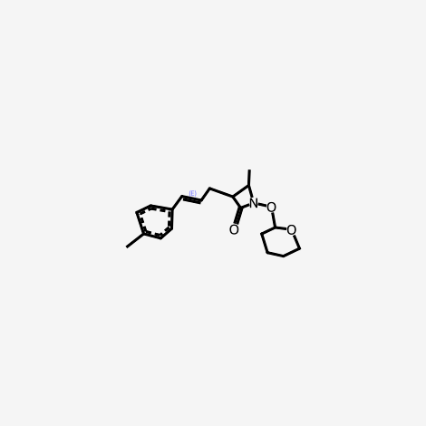 Cc1ccc(/C=C/CC2C(=O)N(OC3CCCCO3)C2C)cc1